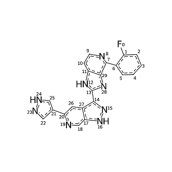 Fc1ccccc1-c1nccc2[nH]c(-c3n[nH]c4cnc(-c5cn[nH]c5)cc34)nc12